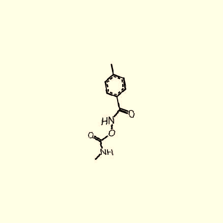 CNC(=O)ONC(=O)c1ccc(C)cc1